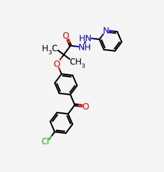 CC(C)(Oc1ccc(C(=O)c2ccc(Cl)cc2)cc1)C(=O)NNc1ccccn1